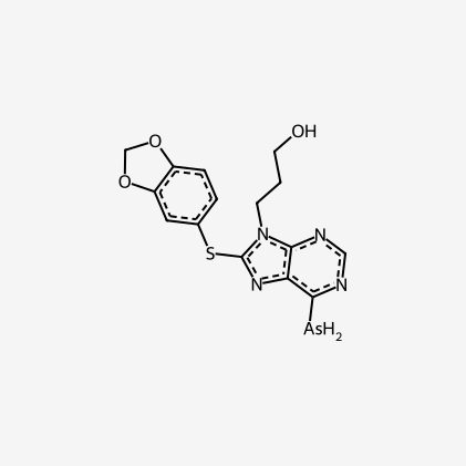 OCCCn1c(Sc2ccc3c(c2)OCO3)nc2c([AsH2])ncnc21